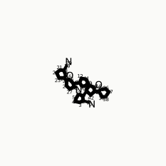 N#Cc1cccc(-n2c3ccccc3c3c4oc5c(C#N)cccc5c4ccc32)c1-c1ccc2oc3ccccc3c2c1